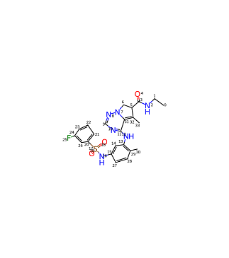 CCNC(=O)C1CN2N=CN=C(Nc3cc(NS(=O)(=O)c4cccc(F)c4)ccc3C)C2=C1C